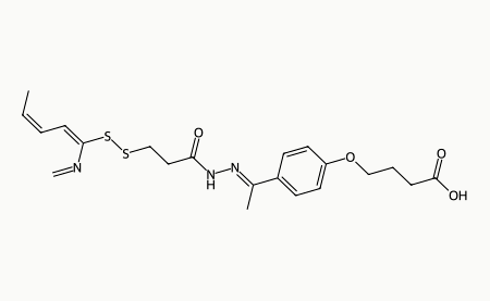 C=N/C(=C\C=C/C)SSCCC(=O)N/N=C(\C)c1ccc(OCCCC(=O)O)cc1